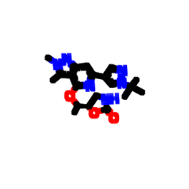 Cc1c2c(OC(C)[C@H]3CNC(=O)O3)nc(-c3cnn(C(C)(C)C)c3)cc2nn1C